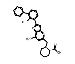 Cc1c(-c2ccccc2)cccc1-c1cc2nc(CN3CCCC[C@H]3C(=O)O)cc(C)c2o1